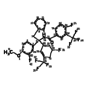 COc1ccc(C(Cc2ccccc2)(NC(=O)c2ccc(F)c(C(F)(F)F)c2)C2=CC(F)CC(C(F)(F)F)=C2)cc1F